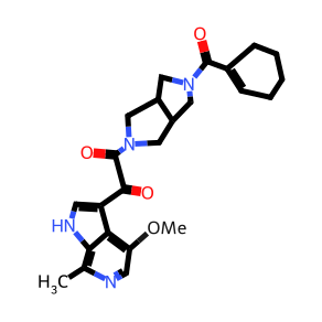 COc1cnc(C)c2[nH]cc(C(=O)C(=O)N3CC4CN(C(=O)C5=CCCCC5)CC4C3)c12